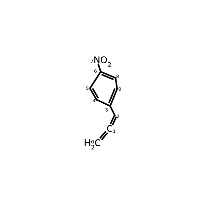 C=C=Cc1ccc([N+](=O)[O-])cc1